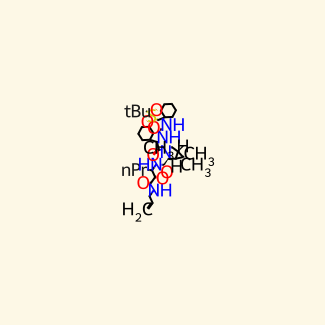 C=CCNC(=O)C(=O)C(CCC)NC(=O)[C@@H]1[C@@H]2[C@H](CN1C(=O)[C@@H](NC(=O)NC1(CS(=O)(=O)C(C)(C)C)CCCCC1)C1(C)CCCCC1)C2(C)C